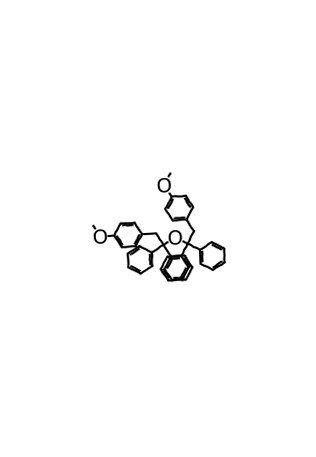 COc1ccc(CC(OC(Cc2ccc(OC)cc2)(c2ccccc2)c2ccccc2)(c2ccccc2)c2ccccc2)cc1